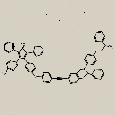 Cc1ccc(C2=C(c3ccccc3)C(=O)C(c3ccccc3)=C2c2ccc(Oc3ccc(C#Cc4ccc5c(c4)CC(c4ccc(CCC(C)c6ccccc6)cc4)C(c4ccccc4)C5)cc3)cc2)cc1